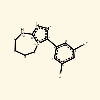 Fc1cc(F)cc(-c2nnc3n2CCCCN3)c1